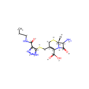 CCCNC(=O)c1nn[nH]c1SCC1=C(C(=O)O)N2C(=O)C(N)[C@H]2SC1